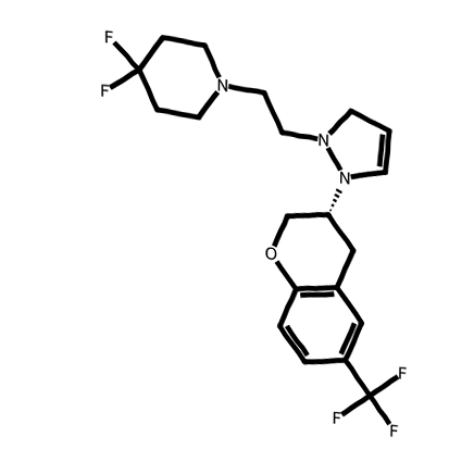 FC1(F)CCN(CCN2CC=CN2[C@H]2COc3ccc(C(F)(F)F)cc3C2)CC1